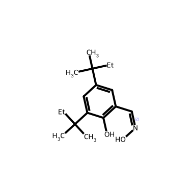 CCC(C)(C)c1cc(/C=N\O)c(O)c(C(C)(C)CC)c1